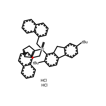 Cl.Cl.[CH2]=[Zr]([CH2]c1cccc2ccccc12)([CH2]c1cccc2ccccc12)([C]1=CC=CC1)[c]1c(C(C)(C)C)ccc2c1Cc1cc(C(C)(C)C)ccc1-2